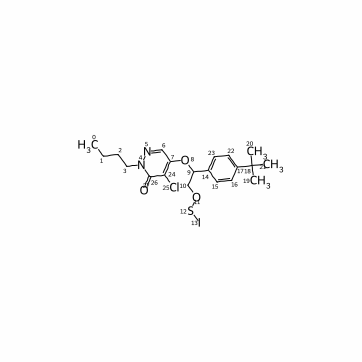 CCCCn1ncc(OC(COSI)c2ccc(C(C)(C)C)cc2)c(Cl)c1=O